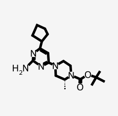 C[C@@H]1CN(c2cc(C3CCCC3)nc(N)n2)CCN1C(=O)OC(C)(C)C